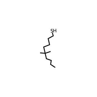 CCCCC(C)(C)CCCCS